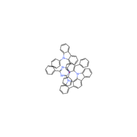 c1ccc(-c2nc(-c3cccc4c5ccccc5n(-c5ccccc5)c34)nc(-n3c4ccccc4c4ccc5c6ccccc6n(-c6c(-c7ccccc7)cccc6-c6ccccc6)c5c43)n2)cc1